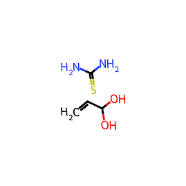 C=CC(O)O.NC(N)=S